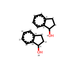 OC1CCc2ccccc21.OC1CCc2ccccc21